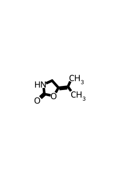 CC(C)=C1CNC(=O)O1